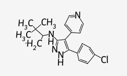 [CH2]C(Nc1n[nH]c(-c2ccc(Cl)cc2)c1-c1ccncc1)C(C)(C)C